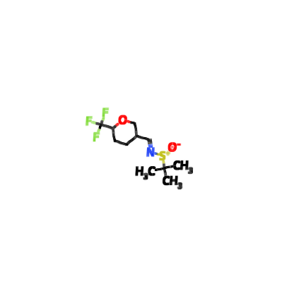 CC(C)(C)[S@@+]([O-])/N=C/C1CCC(C(F)(F)F)OC1